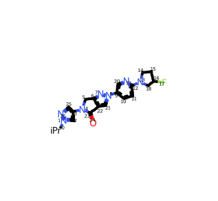 CC(C)n1cc(N2Cc3nn(-c4ccc(N5CCC(F)C5)nc4)cc3C2=O)cn1